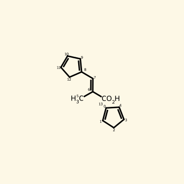 C1=CCC=C1.CC(=CC1=CC=CC1)C(=O)O